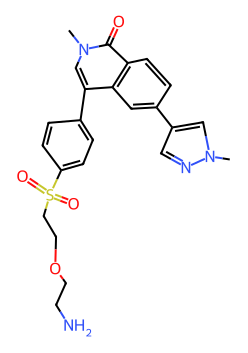 Cn1cc(-c2ccc3c(=O)n(C)cc(-c4ccc(S(=O)(=O)CCOCCN)cc4)c3c2)cn1